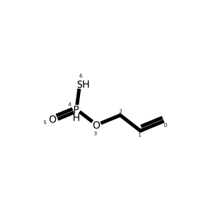 C=CCO[PH](=O)S